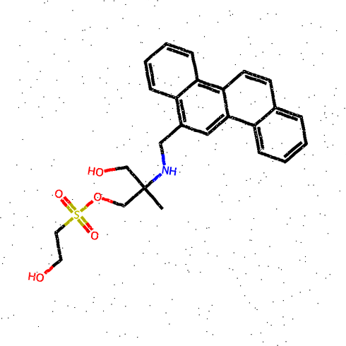 CC(CO)(COS(=O)(=O)CCO)NCc1cc2c3ccccc3ccc2c2ccccc12